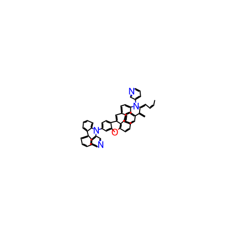 C=C(/C(=C\C=C/C)N(c1cccnc1)c1ccc2cc3c4c(cccc4c2c1)Oc1cc(N(c2cccnc2)c2ccccc2-c2ccccc2)ccc1-3)c1ccccc1